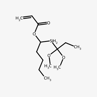 C=CC(=O)OC(CCCC)[SiH2]C(CC)(OC)OC